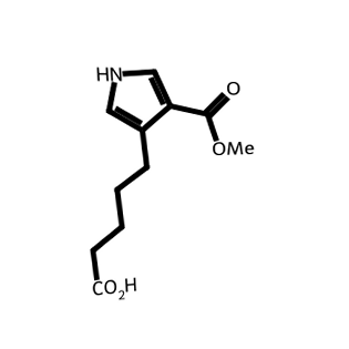 COC(=O)c1c[nH]cc1CCCCC(=O)O